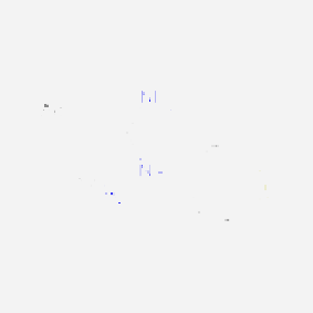 CC(=O)C1C=NN(C2CCSCC2)C1N